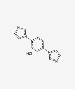 Cl.c1cn(-c2ccc(-n3ccnc3)cc2)cn1